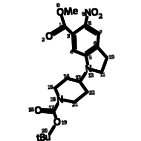 COC(=O)c1cc2c(cc1[N+](=O)[O-])CCN2C1CCN(C(=O)OC(C)(C)C)CC1